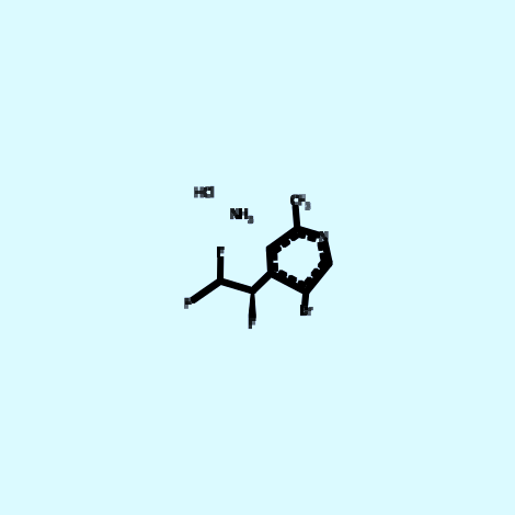 Cl.FC(F)[C@H](F)c1cc(C(F)(F)F)ncc1Br.N